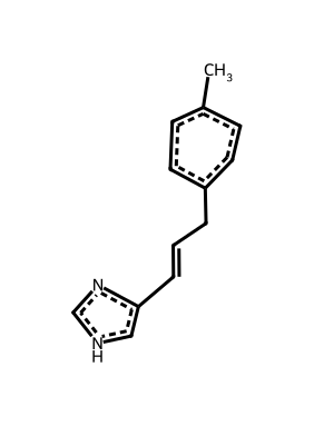 Cc1ccc(CC=Cc2c[nH]cn2)cc1